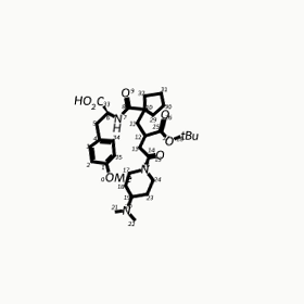 COc1ccc(C[C@H](NC(=O)C2(CC(CC(=O)N3CCC(N(C)C)CC3)C(=O)OC(C)(C)C)CCCC2)C(=O)O)cc1